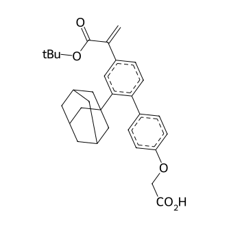 C=C(C(=O)OC(C)(C)C)c1ccc(-c2ccc(OCC(=O)O)cc2)c(C23CC4CC(CC(C4)C2)C3)c1